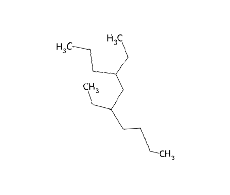 CCCCC(CC)CC(CC)CCC